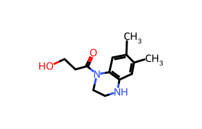 Cc1cc2c(cc1C)N(C(=O)CCO)CCN2